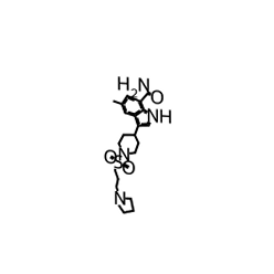 Cc1cc(C(N)=O)c2[nH]cc(C3CCN(S(=O)(=O)CCCN4CCCC4)CC3)c2c1